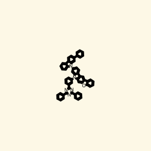 c1ccc(-c2ccc3c4ccccc4n(-c4ccc5c6cc7c(cc6n(-c6cccc(-c8nc(-c9ccccc9)nc(-c9ccccc9)n8)c6)c5c4)oc4ccccc47)c3c2)cc1